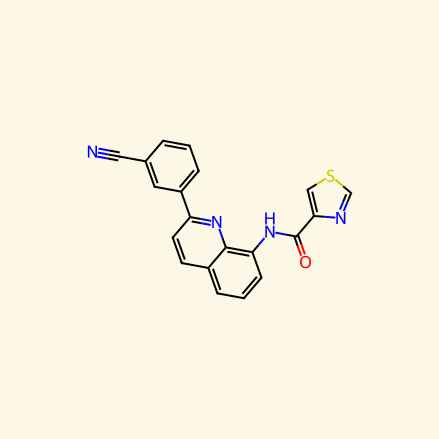 N#Cc1cccc(-c2ccc3cccc(NC(=O)c4cscn4)c3n2)c1